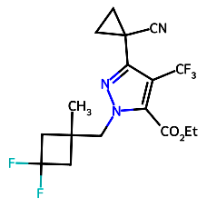 CCOC(=O)c1c(C(F)(F)F)c(C2(C#N)CC2)nn1CC1(C)CC(F)(F)C1